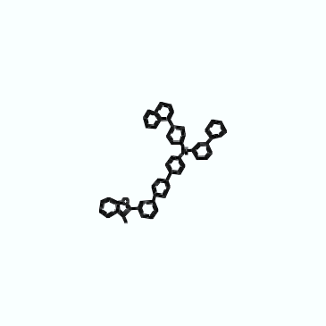 Cc1c(-c2cccc(-c3ccc(-c4ccc(N(c5ccc(-c6cccc7ccccc67)cc5)c5cccc(-c6ccccc6)c5)cc4)cc3)c2)oc2ccccc12